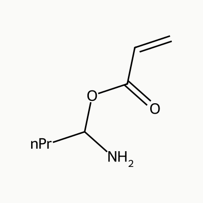 C=CC(=O)OC(N)CCC